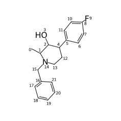 CC1C(O)C(c2ccc(F)cc2)CCN1Cc1ccccc1